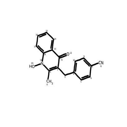 Cc1c(Cc2ccc(C#N)cc2)c(=O)c2ccccc2n1O